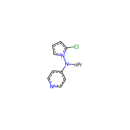 CCCN(c1ccncc1)n1cccc1Cl